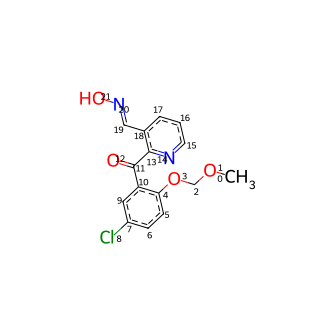 COCOc1ccc(Cl)cc1C(=O)c1ncccc1C=NO